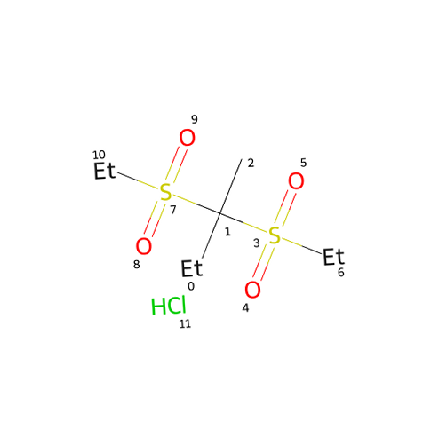 CCC(C)(S(=O)(=O)CC)S(=O)(=O)CC.Cl